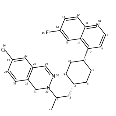 CC(C[C@H]1CC[C@@H](c2ccnc3ccc(F)cc32)CC1)N1Cc2ccc(Cl)cc2C=N1